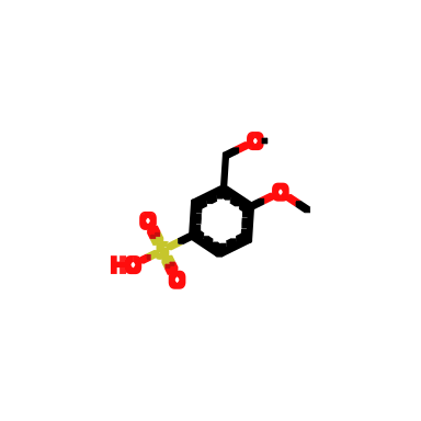 COc1ccc(S(=O)(=O)O)cc1C[O]